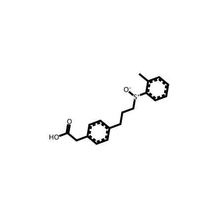 Cc1ccccc1[S+]([O-])CCCc1ccc(CC(=O)O)cc1